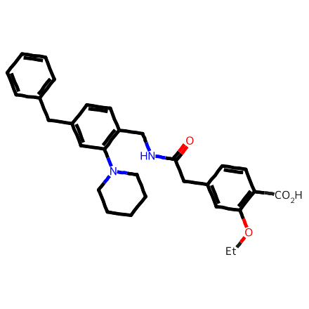 CCOc1cc(CC(=O)NCc2ccc(Cc3ccccc3)cc2N2CCCCC2)ccc1C(=O)O